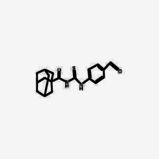 O=Cc1ccc(NC(=S)NC(=O)C23CC4CC(CC(C4)C2)C3)cc1